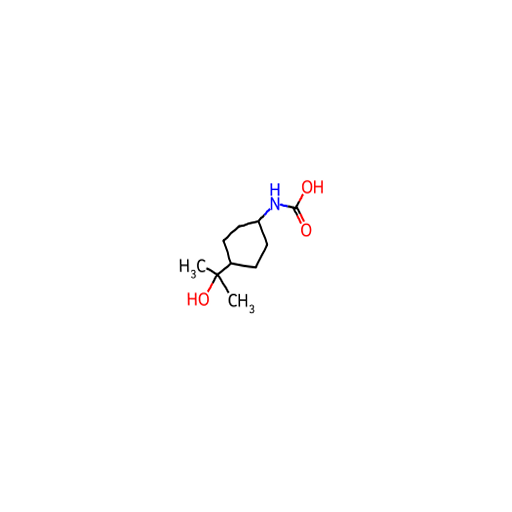 CC(C)(O)C1CCC(NC(=O)O)CC1